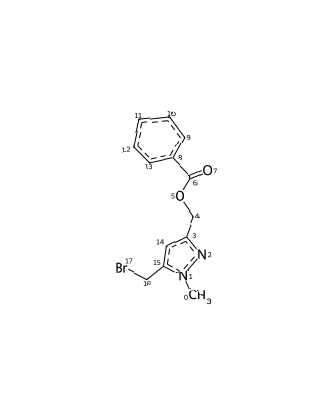 Cn1nc(COC(=O)c2ccccc2)cc1CBr